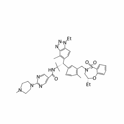 CC[C@@H]1CN(Cc2cc([C@@H](c3ccc4c(nnn4CC)c3C)C(C)(C)NC(=O)c3cnc(N4CCN(C)CC4)nc3)ccc2C)S(=O)(=O)c2ccccc2O1